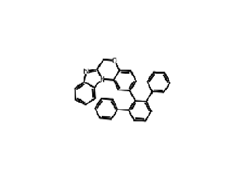 c1ccc(-c2cccc(-c3ccccc3)c2-c2ccc3c(c2)-n2c(nc4ccccc42)CO3)cc1